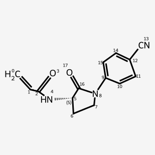 C=[C]C(=O)N[C@H]1CCN(c2ccc(C#N)cc2)C1=O